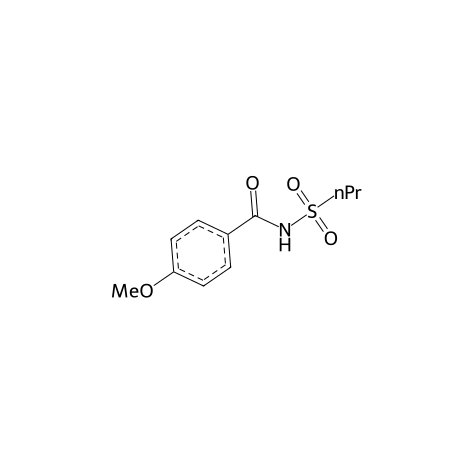 CCCS(=O)(=O)NC(=O)c1ccc(OC)cc1